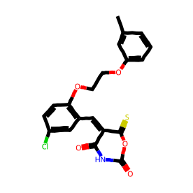 Cc1cccc(OCCOc2ccc(Cl)cc2/C=C2\C(=O)NC(=O)OC2=S)c1